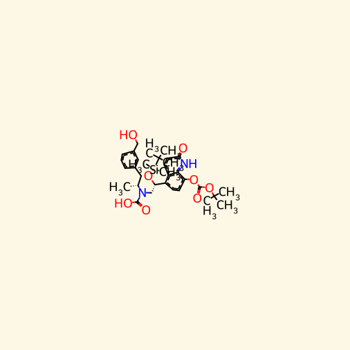 C[C@H](Cc1cccc(CO)c1)N(C[C@H](O[Si](C)(C)C(C)(C)C)c1ccc(OC(=O)OC(C)(C)C)c2[nH]c(=O)ccc12)C(=O)O